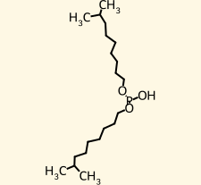 CC(C)CCCCCCCOP(O)OCCCCCCCC(C)C